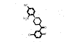 N#Cc1ccc(N2CCC(C(=O)c3cc(Cl)ccc3F)CC2)c(N)c1